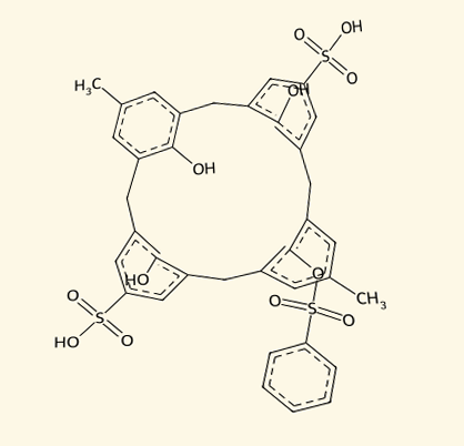 Cc1cc2c(O)c(c1)Cc1cc(S(=O)(=O)O)cc(c1O)Cc1cc(C)cc(c1OS(=O)(=O)c1ccccc1)Cc1cc(S(=O)(=O)O)cc(c1O)C2